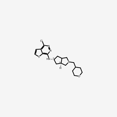 Clc1nnc(N[C@@H]2CC3CN(CC4CCOCC4)C[C@H]3C2)c2sccc12